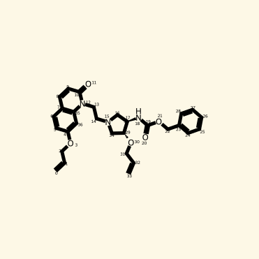 C=CCOc1ccc2ccc(=O)n(CCN3C[C@@H](NC(=O)OCc4ccccc4)[C@H](OCC=C)C3)c2c1